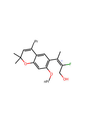 CCCOc1cc2c(cc1/C(C)=C(/F)CO)C(C(C)C)=CC(C)(C)O2